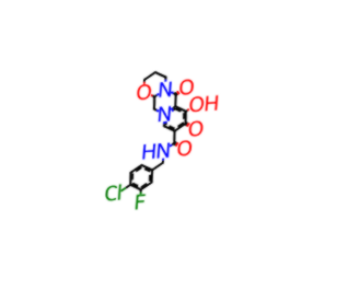 O=C(NCc1ccc(Cl)c(F)c1)c1cn2c(c(O)c1=O)C(=O)N1CCCOC1C2